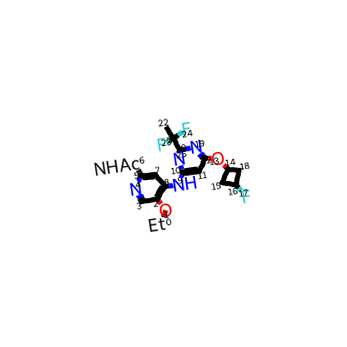 CCOc1cnc(NC(C)=O)cc1Nc1cc(OC2CC(F)C2)nc(C(C)(F)F)n1